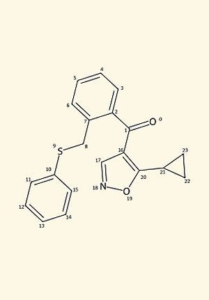 O=C(c1ccccc1CSc1ccccc1)c1cnoc1C1CC1